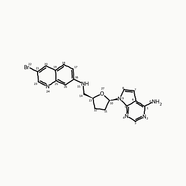 Nc1ncnc2c1ccn2[C@H]1CC[C@@H](CNc2ccc3cc(Br)cnc3c2)O1